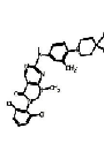 [CH2]c1cc(Nc2ncc3c(n2)N(C)CN(c2c(Cl)cccc2Cl)C3=O)ccc1N1CCC(F)(F)CC1